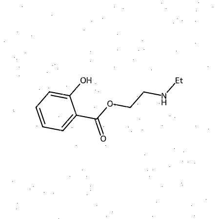 CCNCCOC(=O)c1ccccc1O